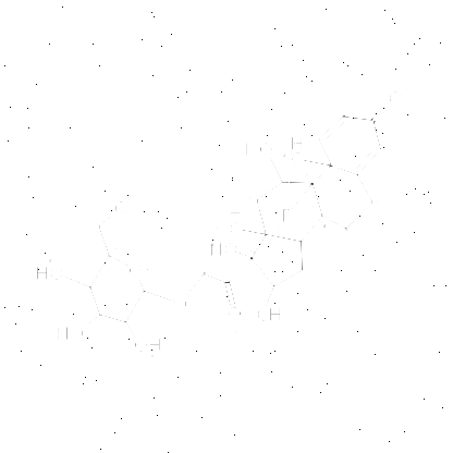 CC1CC2C3CCC4=CC(=O)C=CC4(C)C3(F)C(O)CC2(C)C1(O)C(=O)COC1OC(CO)C(O)C(O)C1O